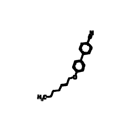 CCCCC=CCOc1ccc(-c2ccc(C#N)cc2)cc1